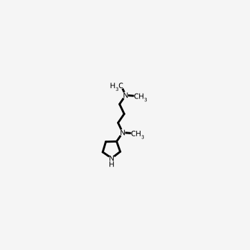 CN(C)CCCN(C)C1CCNC1